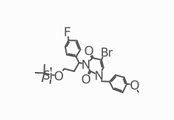 COc1ccc(Cn2cc(Br)c(=O)n(C(CCO[Si](C)(C)C(C)(C)C)c3ccc(F)cc3)c2=O)cc1